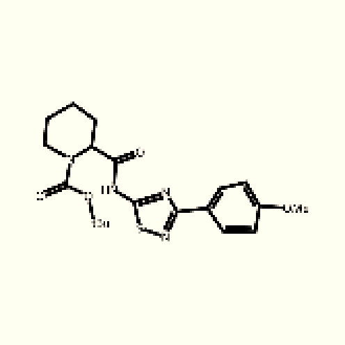 COc1ccc(-c2nsc(NC(=O)C3CCCCN3C(=O)OC(C)(C)C)n2)cc1